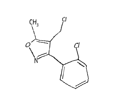 Cc1onc(-c2ccccc2Cl)c1CCl